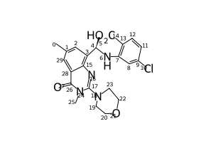 Cc1cc([C@@H](C)Nc2cc(Cl)ccc2C(=O)O)c2nc(N3CCOCC3)n(C)c(=O)c2c1